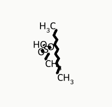 CCCCCCCCCCCC.CCCS(=O)(=O)O